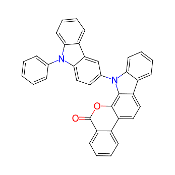 O=c1oc2c(ccc3c4ccccc4n(-c4ccc5c(c4)c4ccccc4n5-c4ccccc4)c32)c2ccccc12